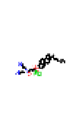 CC(C)CCCC(C)C1CCC2C3CC=C4CC(OC(=O)CCC(=O)N(CCCN(C)C)CCCN(C)C)CCC4(C)C3CCC12C.Cl.Cl